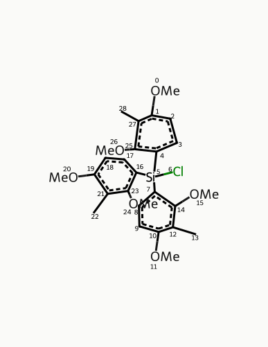 COc1ccc([Si](Cl)(c2ccc(OC)c(C)c2OC)c2ccc(OC)c(C)c2OC)c(OC)c1C